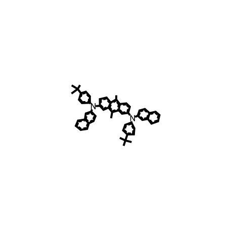 Cc1c2ccc(N(c3ccc(C(C)(C)C)cc3)c3ccc4ccccc4c3)cc2c(C)c2cc(N(c3ccc(C(C)(C)C)cc3)c3ccc4ccccc4c3)ccc12